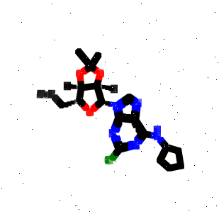 CNC[C@H]1O[C@@H](n2cnc3c(NC4CCCC4)nc(Cl)nc32)[C@@H]2OC(C)(C)O[C@@H]21